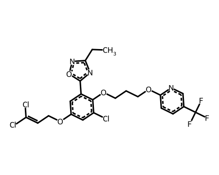 CCc1noc(-c2cc(OCC=C(Cl)Cl)cc(Cl)c2OCCCOc2ccc(C(F)(F)F)cn2)n1